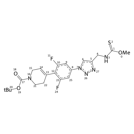 COC(=S)NCc1cn(-c2cc(F)c(C3=CCN(C(=O)OC(C)(C)C)CC3)c(F)c2)nn1